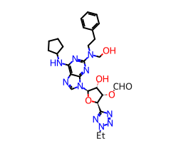 CCn1nnc([C@H]2O[C@@H](n3cnc4c(NC5CCCC5)nc(N(CO)CCc5ccccc5)nc43)[C@H](O)[C@@H]2OC=O)n1